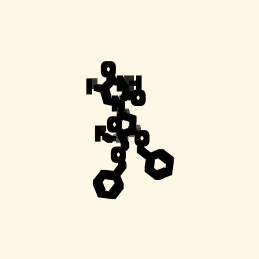 O=c1[nH]c(=O)n([C@H]2C[C@H](OCc3ccccc3)[C@@](CF)(COCc3ccccc3)O2)cc1F